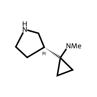 CNC1([C@@H]2CCNC2)CC1